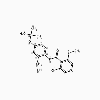 COc1cccc(Cl)c1C(=O)Pc1ccc(OC(C)(C)C)cc1C.[LiH]